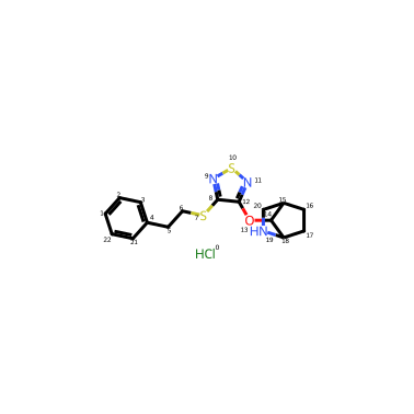 Cl.c1ccc(CCSc2nsnc2OC2C3CCC2NC3)cc1